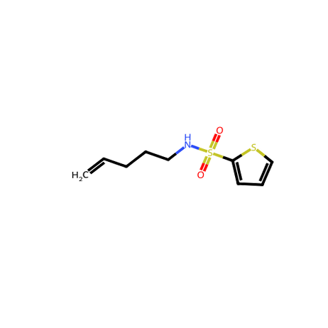 C=CCCCNS(=O)(=O)c1cccs1